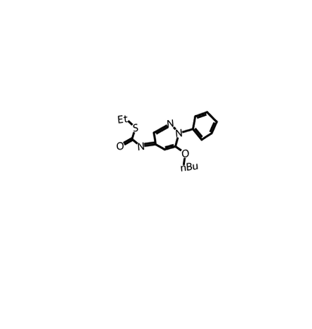 CCCCOc1cc(=NC(=O)SCC)cnn1-c1ccccc1